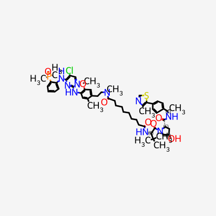 COc1cc(CCN(C)C(=O)CCCCCCCCC(=O)N[C@H](C(=O)N2C[C@H](O)C[C@H]2C(=O)N[C@@H](C)c2ccc(-c3scnc3C)cc2)C(C)(C)C)c(C)cc1Nc1ncc(Cl)c(Nc2ccccc2P(C)(C)=O)n1